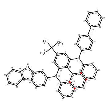 CC(C)(C)c1cc(N(c2ccccc2)c2ccc(-c3ccccc3)cc2)c(-c2ccccc2)c(N(c2ccccc2)c2ccc3c(c2)oc2ccccc23)c1